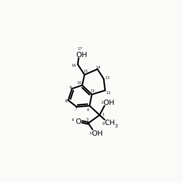 CC(O)(C(=O)O)c1cccc2c1CCCC2CO